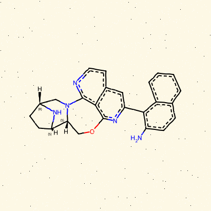 Nc1ccc2ccccc2c1-c1cc2ccnc3c2c(n1)OC[C@@H]1[C@@H]2CC[C@H](CN31)N2